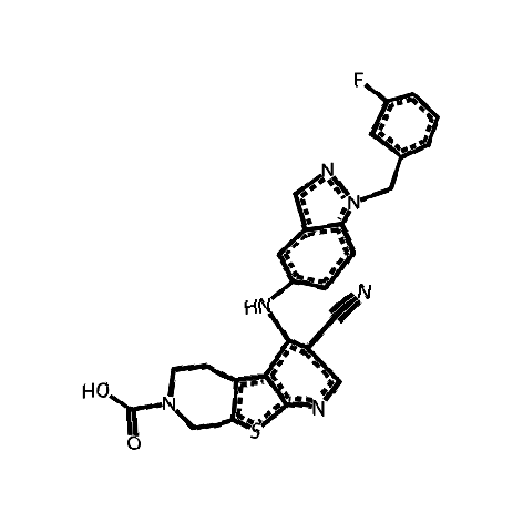 N#Cc1cnc2sc3c(c2c1Nc1ccc2c(cnn2Cc2cccc(F)c2)c1)CCN(C(=O)O)C3